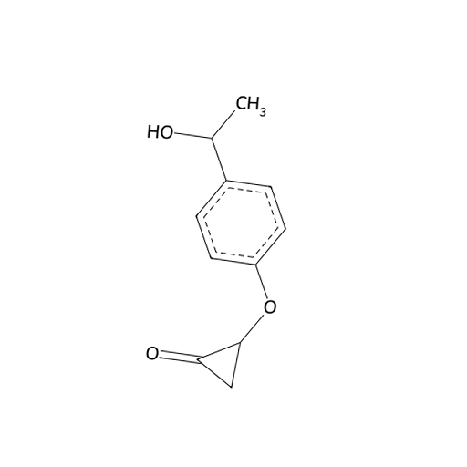 CC(O)c1ccc(OC2CC2=O)cc1